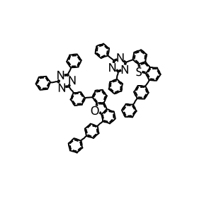 c1ccc(-c2ccc(-c3cccc4c3oc3c(-c5cccc(-c6nc(-c7ccccc7)nc(-c7ccccc7)n6)c5)cccc34)cc2)cc1.c1ccc(-c2ccc(-c3cccc4c3sc3c(-c5nc(-c6ccccc6)nc(-c6ccccc6)n5)cccc34)cc2)cc1